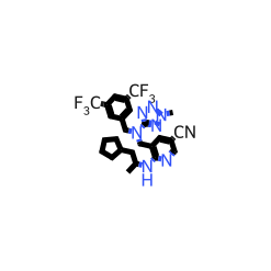 CC(CC1CCCC1)Nc1ncc(C#N)cc1CN(Cc1cc(C(F)(F)F)cc(C(F)(F)F)c1)c1nnn(C)n1